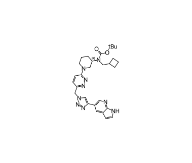 CC(C)(C)OC(=O)N(CC1CCC1)[C@@H]1CCCN(c2ccc(Cn3cc(-c4cnc5[nH]ccc5c4)nn3)nn2)C1